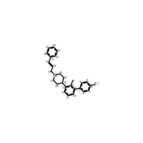 Cc1c(-c2ccc(F)cc2)cccc1C1CCN(CC=Cc2ccccc2)CC1